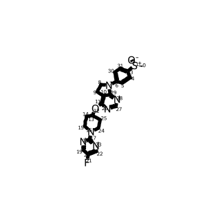 C[S@@+]([O-])c1ccc(N2CCc3c(OC4CCN(c5ncc(F)cn5)CC4)ncnc32)cc1